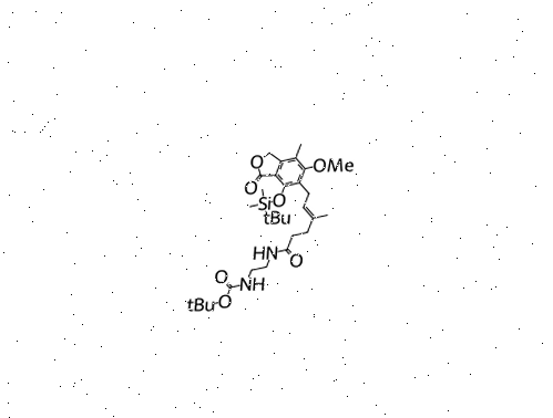 COc1c(C)c2c(c(O[Si](C)(C)C(C)(C)C)c1C/C=C(\C)CCC(=O)NCCNC(=O)OC(C)(C)C)C(=O)OC2